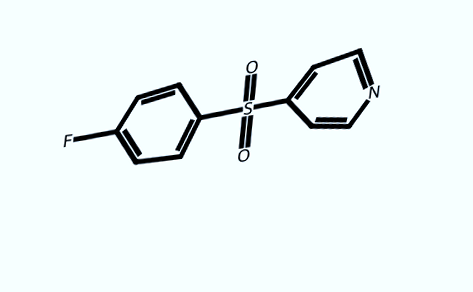 O=S(=O)(c1ccncc1)c1ccc(F)cc1